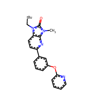 Cn1c(=O)n(CC(C)(C)C)c2ccc(-c3cccc(Oc4ccccn4)c3)nc21